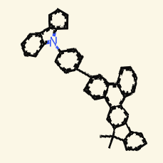 CC1(C)c2ccccc2-c2cc3c4ccccc4c4cc(-c5ccc(-n6c7ccccc7c7ccccc76)cc5)ccc4c3cc21